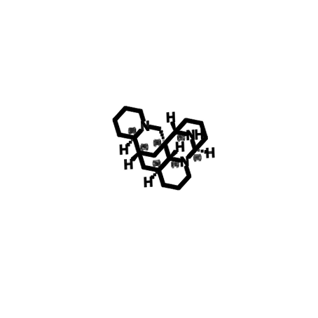 C1CCN2C[C@]34C[C@H](C[C@@H]5CCCN([C@@H]6CCC[C@@H]3N6)[C@H]54)[C@H]2C1